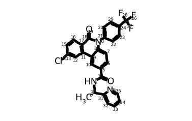 C[C@H](NC(=O)c1ccc2c(c1)c1cc(Cl)ccc1c(=O)n2-c1ccc(C(F)(F)F)cc1)c1ccccn1